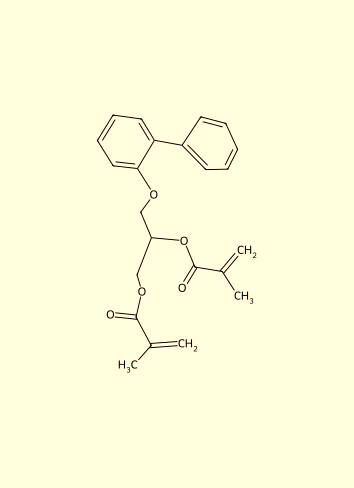 C=C(C)C(=O)OCC(COc1ccccc1-c1ccccc1)OC(=O)C(=C)C